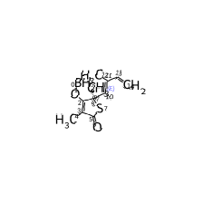 BOC1=C(C)C(=O)S[C@]1(C)/C=C(\C)C=C